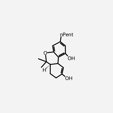 CCCCCc1cc(O)c2c(c1)OC(C)(C)[C@@H]1CCC(O)=CC21